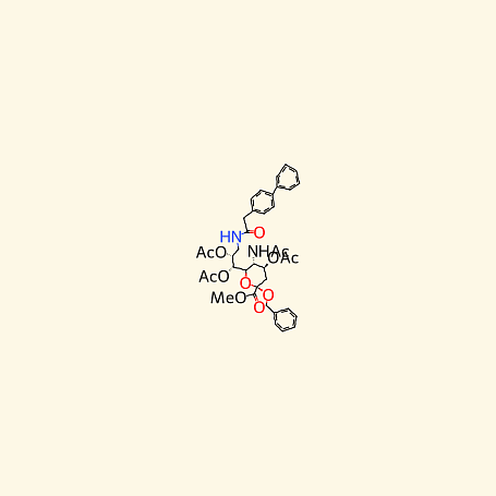 COC(=O)[C@@]1(OCc2ccccc2)C[C@H](OC(C)=O)[C@@H](NC(C)=O)[C@H]([C@H](OC(C)=O)[C@@H](CNC(=O)Cc2ccc(-c3ccccc3)cc2)OC(C)=O)O1